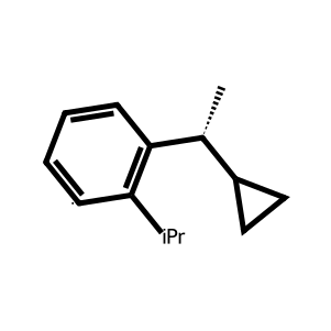 CC(C)c1[c]cccc1[C@H](C)C1CC1